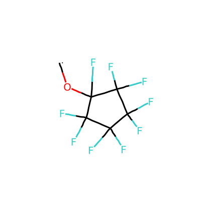 [CH2]OC1(F)C(F)(F)C(F)(F)C(F)(F)C1(F)F